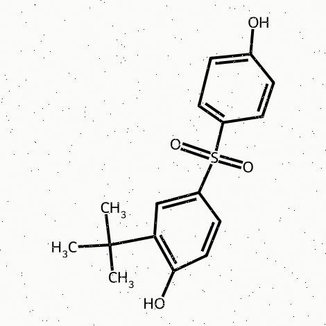 CC(C)(C)c1cc(S(=O)(=O)c2ccc(O)cc2)ccc1O